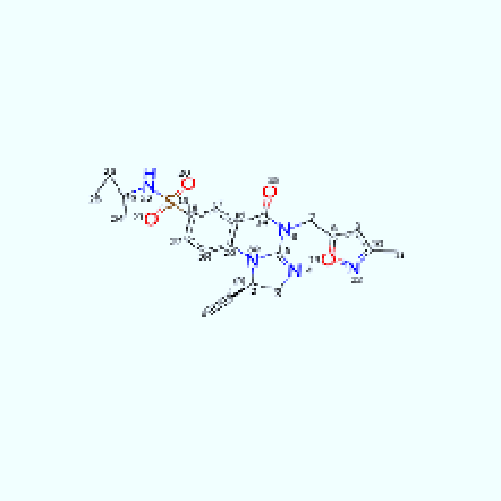 C#C[C@@H]1CN=C2N(Cc3cc(C)no3)C(=O)c3cc(S(=O)(=O)NC4(C)CC4)ccc3N21